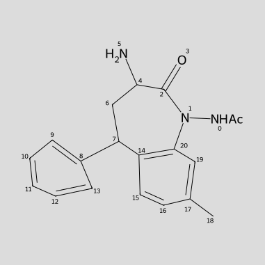 CC(=O)NN1C(=O)C(N)CC(c2ccccc2)c2ccc(C)cc21